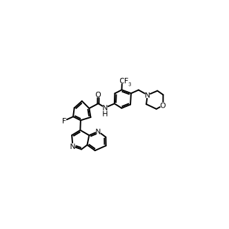 O=C(Nc1ccc(CN2CCOCC2)c(C(F)(F)F)c1)c1ccc(F)c(-c2cncc3cccnc23)c1